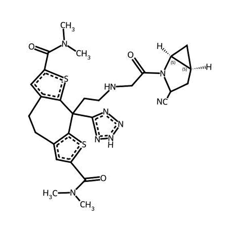 CN(C)C(=O)c1cc2c(s1)C(CCNCC(=O)N1C(C#N)C[C@@H]3C[C@@H]31)(c1nn[nH]n1)c1sc(C(=O)N(C)C)cc1CC2